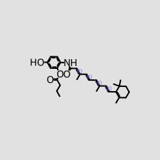 CCCC(=O)Oc1cc(O)ccc1NC(=O)/C=C(C)/C=C/C=C(C)/C=C/C1=C(C)CCCC1(C)C